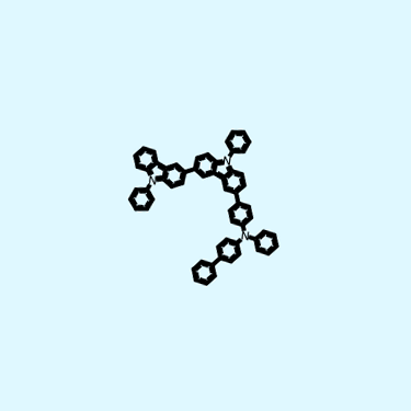 c1ccc(-c2ccc(N(c3ccccc3)c3ccc(-c4ccc5c(c4)c4cc(-c6ccc7c(c6)c6ccccc6n7-c6ccccc6)ccc4n5-c4ccccc4)cc3)cc2)cc1